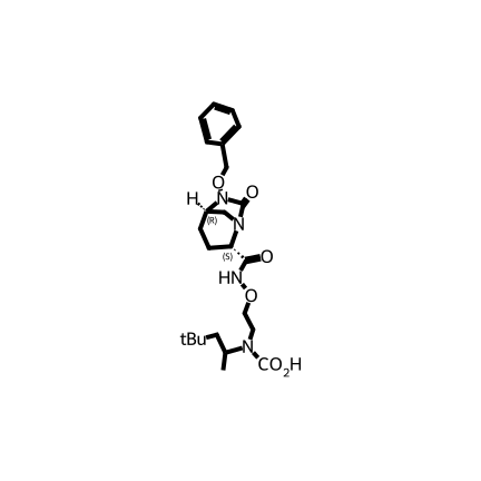 CC(CC(C)(C)C)N(CCONC(=O)[C@@H]1CC[C@@H]2CN1C(=O)N2OCc1ccccc1)C(=O)O